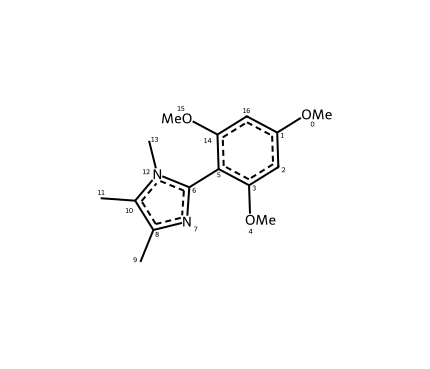 COc1cc(OC)c(-c2nc(C)c(C)n2C)c(OC)c1